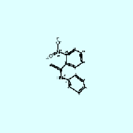 C=C(Nc1ccccc1)c1ccccc1[N+](=O)[O-]